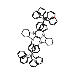 c1ccc(N(c2ccccc2)c2ccc(N3C(=C4N(c5ccc(N(c6ccccc6)c6ccccc6)cc5)C5CCCCC5N4c4ccc(N(c5ccccc5)c5ccccc5)cc4)N(c4ccc(N(c5ccccc5)c5ccccc5)cc4)C4CCCCC43)cc2)cc1